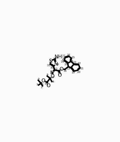 CC(C)(C)OC(=O)C(C)(C)O/N=C(\C(=O)OCC1c2ccccc2-c2ccccc21)c1csc(N)n1